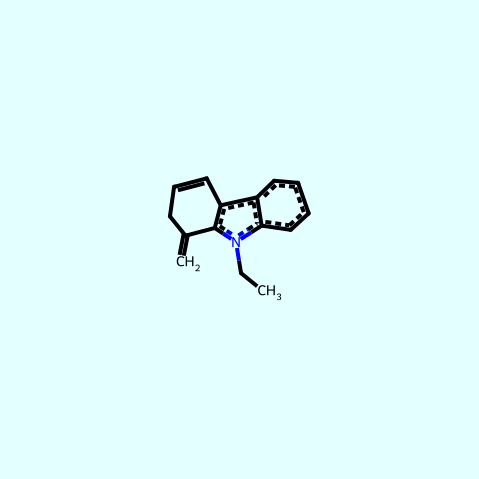 C=C1CC=Cc2c1n(CC)c1ccccc21